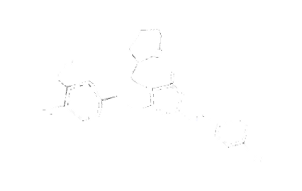 COc1cc(CCc2cc(/C=C/c3ccc(O)cc3)nc(=S)n2CC2CCCO2)ccc1O